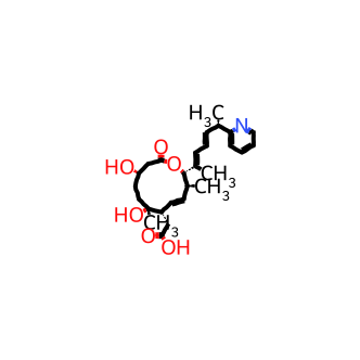 C/C(=C\C=C\[C@H](C)c1ccccn1)[C@H]1OC(=O)C[C@H](O)CC[C@@](C)(O)[C@@H](CC(=O)O)/C=C/[C@@H]1C